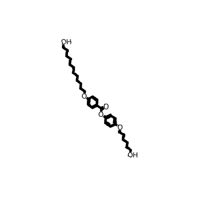 O=C(Oc1ccc(OCCCCCCO)cc1)c1ccc(OCCCCCCCCCCCCO)cc1